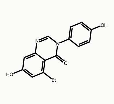 CCc1cc(O)cc2ncn(-c3ccc(O)cc3)c(=O)c12